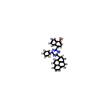 Brc1ccc(-c2nc(-c3ccccc3)nc(-c3ccc4c5c3C=CC3=CC=CC(=CC4)C35)n2)c2ccccc12